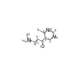 Cc1ncncc1C(=O)/C=C/N(C)C